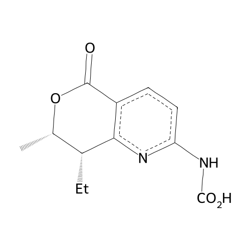 CC[C@H]1c2nc(NC(=O)O)ccc2C(=O)O[C@H]1C